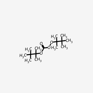 CC(C)(C)C(C)(C)OOC(=O)OC(C)(C)C(C)(C)C